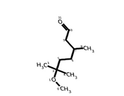 COC(C)(C)CCC(C)CC=O